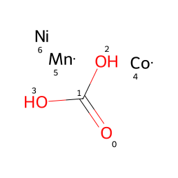 O=C(O)O.[Co].[Mn].[Ni]